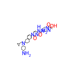 CC(N)(O)C(=O)N1CCN(C(=O)Nc2ccn(-c3ccc4c(c3)CCC(N(CC3CC3)C3CCC(N)CC3)C4)c(=O)n2)CC1